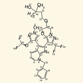 Cn1cc(-c2c3cccn(Cc4ccccc4)c-3nc2-c2c(C(F)F)nn3c2OCC(OCCC(C)(C)O)C3)c(OC(F)F)n1